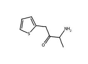 CC(N)C(=O)Cc1cccs1